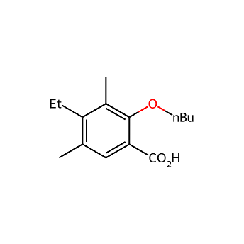 CCCCOc1c(C(=O)O)cc(C)c(CC)c1C